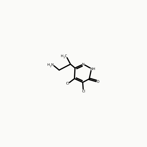 CC(CN)c1n[nH]c(=O)c(Cl)c1Cl